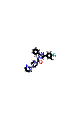 Cc1cc(-c2cn(CC(=O)N3CCN(c4ncccn4)CC3)c(-c3ccccc3)n2)ccc1F